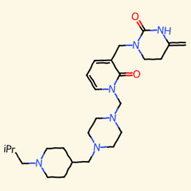 C=C1CCN(Cc2cccn(CN3CCN(CC4CCN(CC(C)C)CC4)CC3)c2=O)C(=O)N1